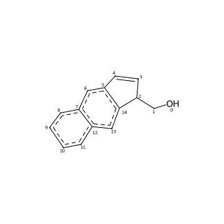 OCC1C=Cc2cc3ccccc3cc21